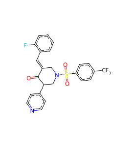 O=C1C(=Cc2ccccc2F)CN(S(=O)(=O)c2ccc(C(F)(F)F)cc2)CC1c1ccncc1